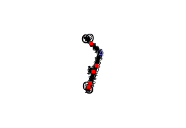 COC(=O)CCCCCCC/C=C\CCCCCCCCC(CCCCCCCC(=O)OC)N(C)C